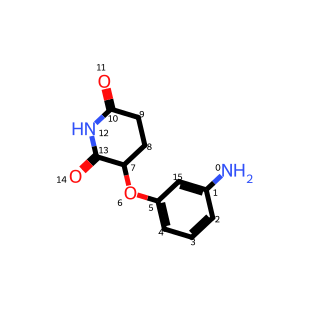 Nc1cccc(OC2CCC(=O)NC2=O)c1